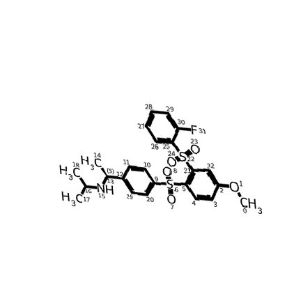 COc1ccc(S(=O)(=O)c2ccc([C@H](C)NC(C)C)cc2)c(S(=O)(=O)c2ccccc2F)c1